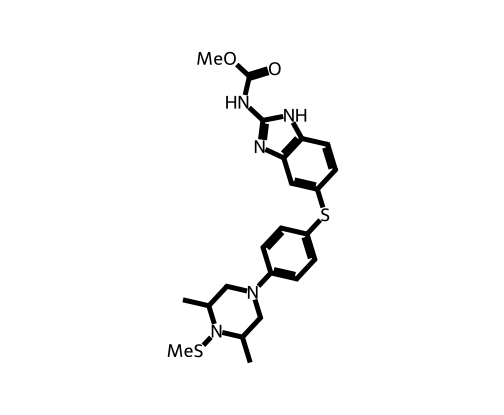 COC(=O)Nc1nc2cc(Sc3ccc(N4CC(C)N(SC)C(C)C4)cc3)ccc2[nH]1